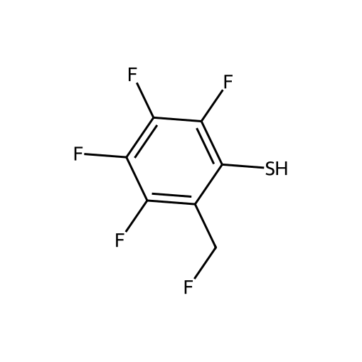 FCc1c(F)c(F)c(F)c(F)c1S